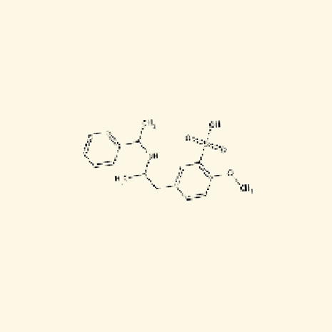 COc1ccc(CC(C)NC(C)c2ccccc2)cc1S(=O)(=O)O